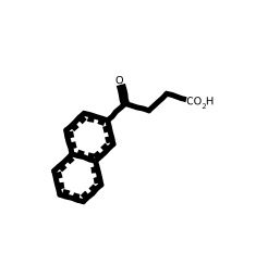 O=C(O)CCC(=O)c1ccc2ccccc2c1